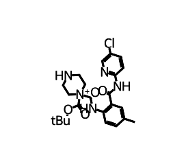 Cc1ccc(NC(=O)[N+]2(C(=O)OC(C)(C)C)CCNCC2)c(C(=O)Nc2ccc(Cl)cn2)c1